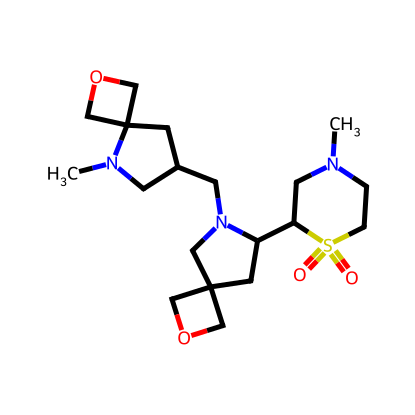 CN1CCS(=O)(=O)C(C2CC3(COC3)CN2CC2CN(C)C3(COC3)C2)C1